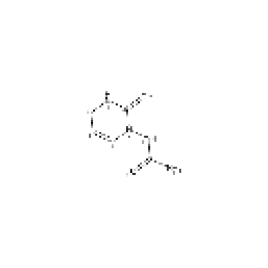 NC(=O)NN1C=CCNC1=O